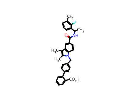 Cc1c(C)n(Cc2ccc(-c3ccccc3C(=O)O)cc2)c2ccc(C(=O)NC(C)c3cccc(C(F)(F)F)c3F)cc12